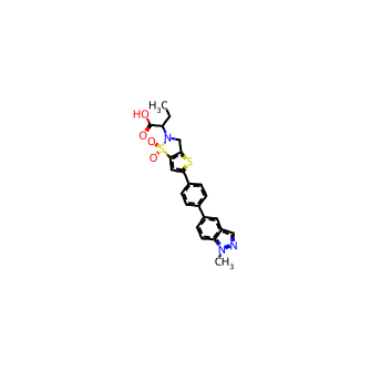 CCC(C(=O)O)N1Cc2sc(-c3ccc(-c4ccc5c(cnn5C)c4)cc3)cc2S1(=O)=O